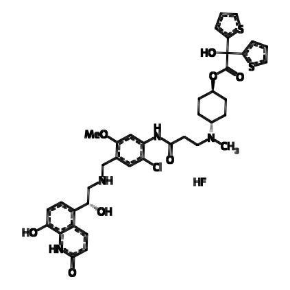 COc1cc(NC(=O)CCN(C)[C@H]2CC[C@H](OC(=O)C(O)(c3cccs3)c3cccs3)CC2)c(Cl)cc1CNC[C@H](O)c1ccc(O)c2[nH]c(=O)ccc12.F